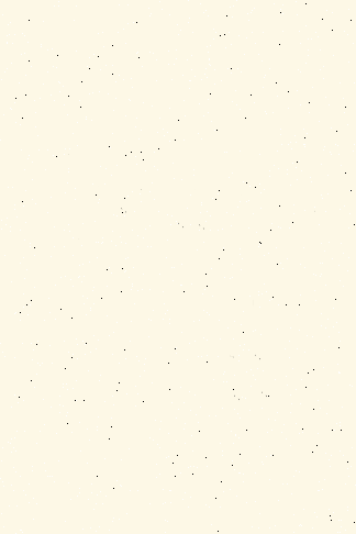 CCOc1cc(C(=O)NC(CC(=O)O)Cc2ccccc2)nn1Cc1ccc(-c2ccccc2-c2nnn[nH]2)cc1F